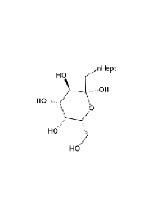 CCCCCCCC[C@@]1(O)O[C@H](CO)[C@H](O)[C@H](O)[C@H]1O